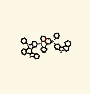 c1ccc(N(c2cccc(-c3ccccc3N(c3ccccc3)c3ccc4c(c3)c3c5c6ccccc6sc5c5ccccc5c3n4-c3ccccc3)c2)c2ccc3sc4ccc5ccccc5c4c3c2)cc1